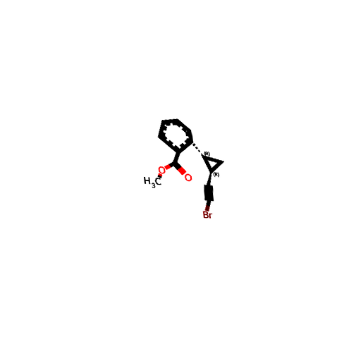 COC(=O)c1ccccc1[C@@H]1C[C@H]1C#CBr